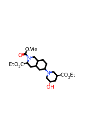 CCOC(=O)C1CC2CC(N3C[C@@H](O)C[C@H](C(=O)OCC)C3)CCC2CN1C(=O)OC